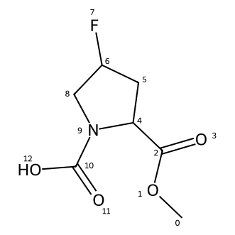 COC(=O)C1CC(F)CN1C(=O)O